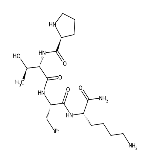 CC(C)C[C@H](NC(=O)[C@@H](NC(=O)[C@@H]1CCCN1)[C@@H](C)O)C(=O)N[C@@H](CCCCN)C(N)=O